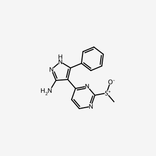 C[S+]([O-])c1nccc(-c2c(N)n[nH]c2-c2ccccc2)n1